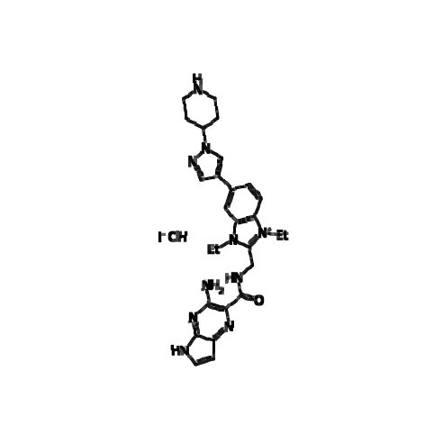 CCn1c(CNC(=O)c2nc3cc[nH]c3nc2N)[n+](CC)c2ccc(-c3cnn(C4CCNCC4)c3)cc21.Cl.[I-]